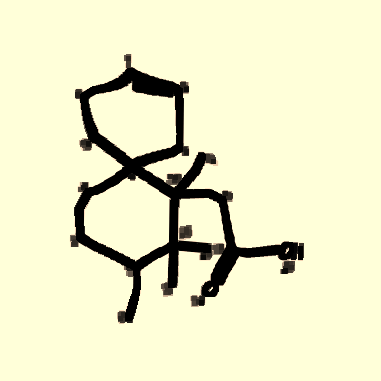 CC1CCC2(CC=CCC2)C(C)(CC(=O)O)C1(C)C